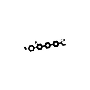 C=C[C@H]1CC[C@H](c2ccc(-c3ccc(-c4ccc(C(CC)OC)cc4)cc3)cc2F)CC1